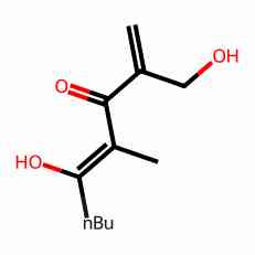 C=C(CO)C(=O)/C(C)=C(\O)CCCC